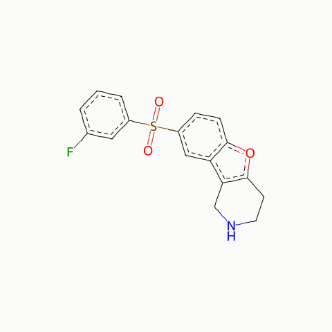 O=S(=O)(c1cccc(F)c1)c1ccc2oc3c(c2c1)CNCC3